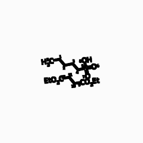 CCCCCS(=O)(=O)O.CCOC(=O)CCC(=O)OCC